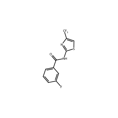 O=C(Nc1nc(C(F)(F)F)cs1)c1cccc(F)c1